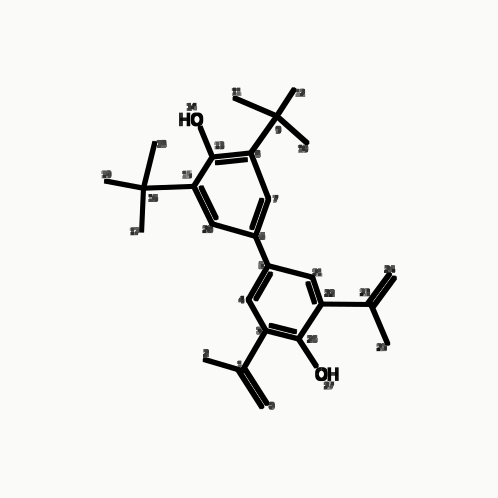 C=C(C)c1cc(-c2cc(C(C)(C)C)c(O)c(C(C)(C)C)c2)cc(C(=C)C)c1O